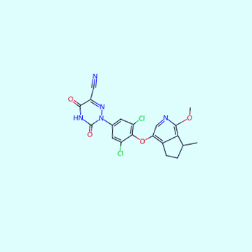 COc1ncc(Oc2c(Cl)cc(-n3nc(C#N)c(=O)[nH]c3=O)cc2Cl)c2c1C(C)CC2